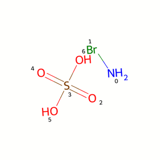 NBr.O=S(=O)(O)O